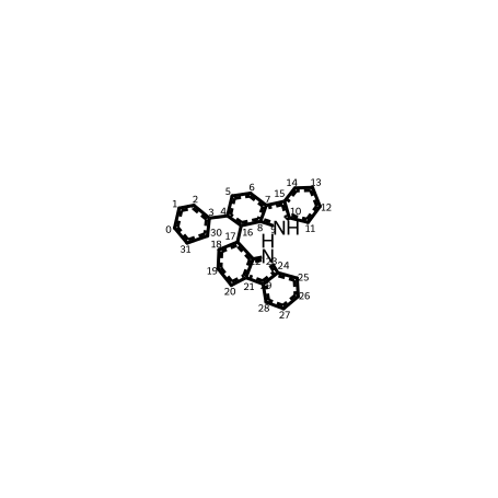 c1ccc(-c2ccc3c([nH]c4ccccc43)c2-c2cccc3c2[nH]c2ccccc23)cc1